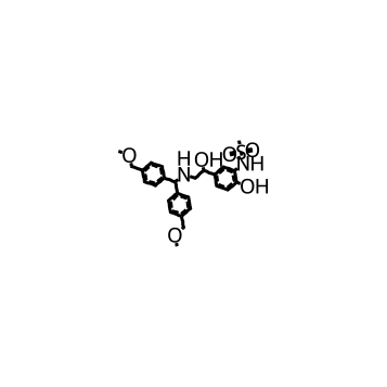 COCc1ccc(C(NCC(O)c2ccc(O)c(NS(C)(=O)=O)c2)c2ccc(COC)cc2)cc1